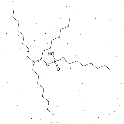 CCCCCCCCN(CCCCCCCC)C(CCCCCCC)OP(=O)(O)OCCCCCCC